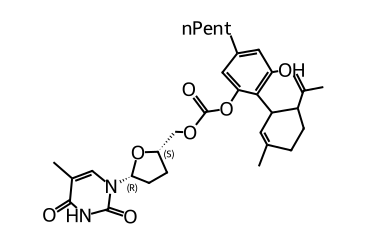 C=C(C)C1CCC(C)=CC1c1c(O)cc(CCCCC)cc1OC(=O)OC[C@@H]1CC[C@H](n2cc(C)c(=O)[nH]c2=O)O1